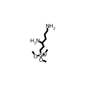 CO[Si](CCC(N)CCCN)(OC)OC